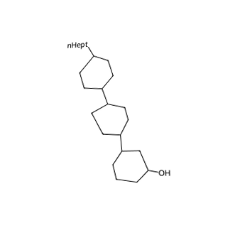 CCCCCCCC1CCC(C2CCC(C3CCCC(O)C3)CC2)CC1